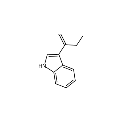 [CH]=C(CC)c1c[nH]c2ccccc12